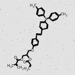 C=CC(=O)OC(COC(=O)C(=C)C)COc1ccc(C=Cc2ccc(N(c3ccc(C)cc3)c3ccc(C)cc3)cc2)cc1